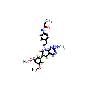 C=CC(=O)Nc1ccc(CCn2c(=O)c(-c3c(Cl)c(OC)cc(OC)c3Cl)cc3cnc(NC)nc32)cc1